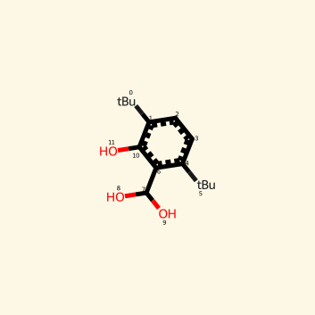 CC(C)(C)c1ccc(C(C)(C)C)c(C(O)O)c1O